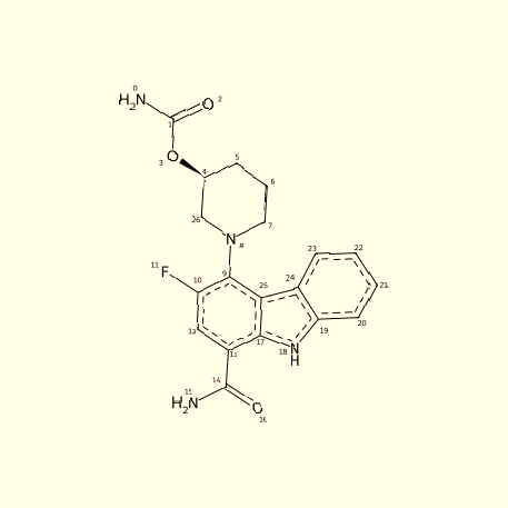 NC(=O)O[C@H]1CCCN(c2c(F)cc(C(N)=O)c3[nH]c4ccccc4c23)C1